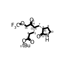 CC(C)(C)OC(=O)CC[C@@H](C[C@@H]1CCNC1=O)C(=O)COC(F)(F)F